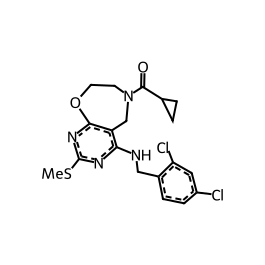 CSc1nc(NCc2ccc(Cl)cc2Cl)c2c(n1)OCCN(C(=O)C1CC1)C2